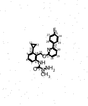 CN(N)C(=O)Nc1cccc(C2CC2)c1COc1cccc(-c2ccc(F)cc2)n1